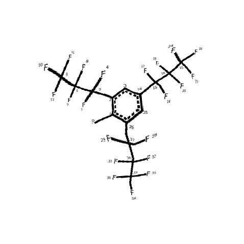 [CH2]c1c(C(F)(F)C(F)(F)C(F)(F)F)cc(C(F)(F)C(F)(F)C(F)(F)F)cc1C(F)(F)C(F)(F)C(F)(F)F